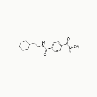 O=C(NO)c1ccc(C(=O)NCCC2CCCCC2)cc1